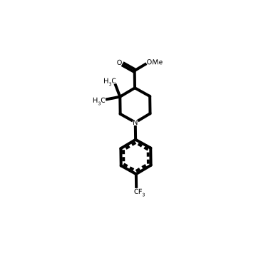 COC(=O)C1CCN(c2ccc(C(F)(F)F)cc2)CC1(C)C